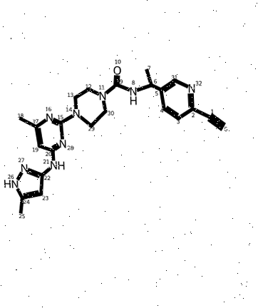 C#Cc1ccc(C(C)NC(=O)N2CCN(c3nc(C)cc(Nc4cc(C)[nH]n4)n3)CC2)cn1